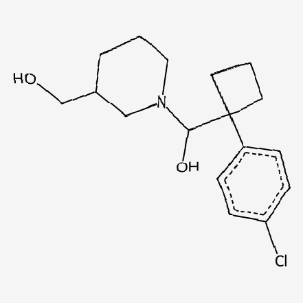 OCC1CCCN(C(O)C2(c3ccc(Cl)cc3)CCC2)C1